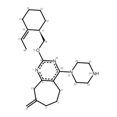 C=C1CCCc2c(nc(OC[C@@H]3CCCC/C3=C/C)nc2N2CCNCC2)C1